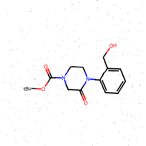 CC(C)(C)OC(=O)N1CCN(c2ccccc2CO)C(=O)C1